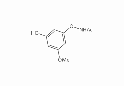 COc1cc(O)cc(ONC(C)=O)c1